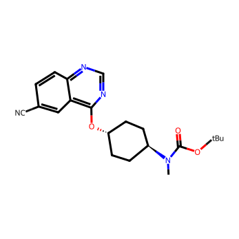 CN(C(=O)OC(C)(C)C)[C@H]1CC[C@H](Oc2ncnc3ccc(C#N)cc23)CC1